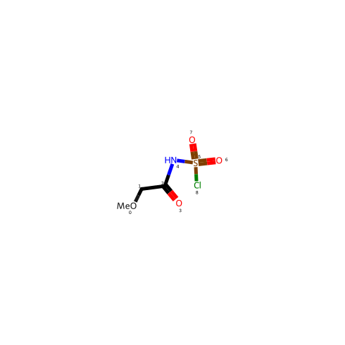 COCC(=O)NS(=O)(=O)Cl